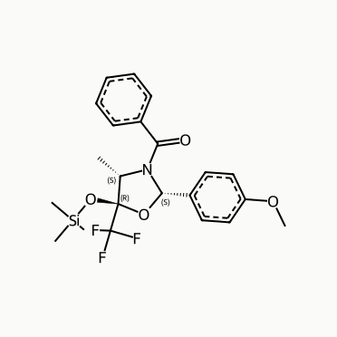 COc1ccc([C@@H]2O[C@](O[Si](C)(C)C)(C(F)(F)F)[C@H](C)N2C(=O)c2ccccc2)cc1